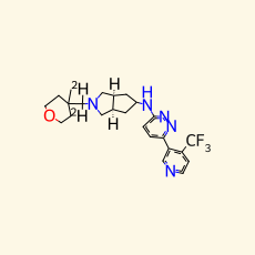 [2H]C([2H])(N1C[C@H]2CC(Nc3ccc(-c4cnccc4C(F)(F)F)nn3)C[C@H]2C1)C1(C)CCOCC1